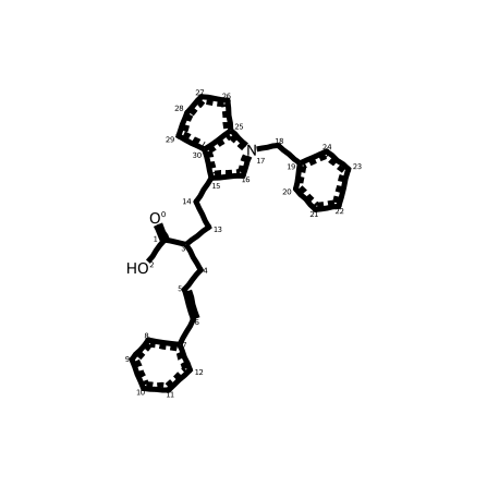 O=C(O)C(CC=Cc1ccccc1)CCc1cn(Cc2ccccc2)c2ccccc12